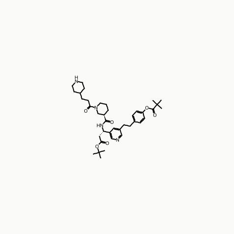 CC(C)(C)OC(=O)C[C@H](NC(=O)[C@@H]1CCCN(C(=O)CCC2CCNCC2)C1)c1cncc(CCc2ccc(OC(=O)C(C)(C)C)cc2)c1